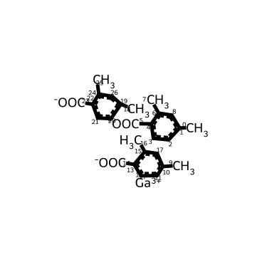 Cc1ccc(C(=O)[O-])c(C)c1.Cc1ccc(C(=O)[O-])c(C)c1.Cc1ccc(C(=O)[O-])c(C)c1.[Ga+3]